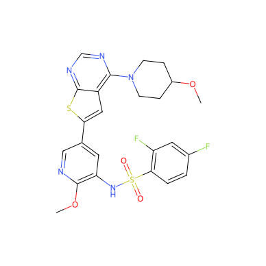 COc1ncc(-c2cc3c(N4CCC(OC)CC4)ncnc3s2)cc1NS(=O)(=O)c1ccc(F)cc1F